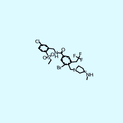 CCS(=O)(=O)c1ccc(Cl)cc1CNC(=O)c1cc(Br)c(CN2CC[C@H](NC)C2)c(CC(F)(F)F)c1